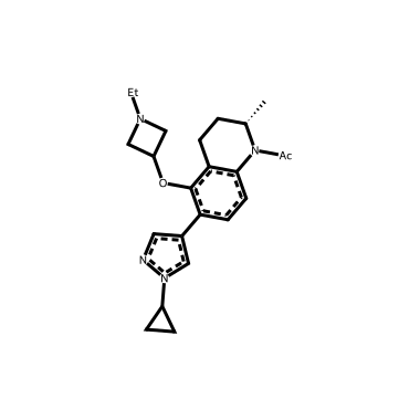 CCN1CC(Oc2c(-c3cnn(C4CC4)c3)ccc3c2CC[C@H](C)N3C(C)=O)C1